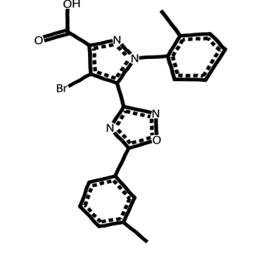 Cc1cccc(-c2nc(-c3c(Br)c(C(=O)O)nn3-c3ccccc3C)no2)c1